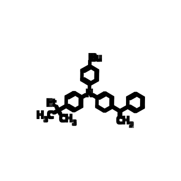 C=C(C1=CC=C(N(c2ccc(C(C)CC)cc2)c2ccc(C(C)(C)CC)cc2)CC1)c1ccccc1